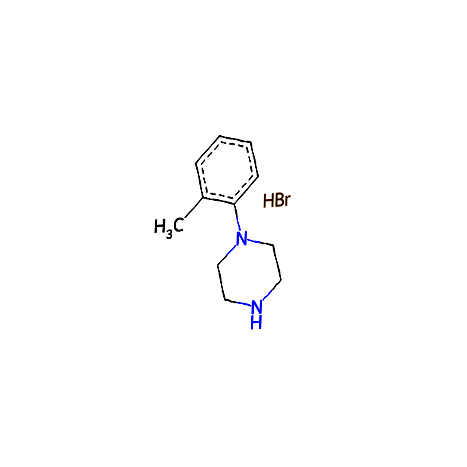 Br.Cc1ccccc1N1CCNCC1